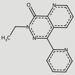 CCn1nc(-c2ccccn2)c2cccnc2c1=O